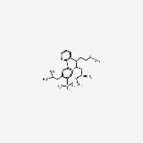 C=C(CC1C(CCOC)c2ccccc2-c2cc(CC(C)C)c([Si](C)(C)C)c[n+]21)OC